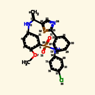 C=C(Nc1ccc(OC)c(S(=O)(=O)Nc2ccc(Cl)cc2)c1)c1cnc(-c2ccccc2)s1